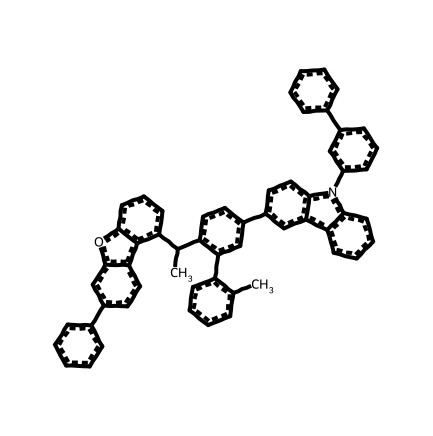 Cc1ccccc1-c1cc(-c2ccc3c(c2)c2ccccc2n3-c2cccc(-c3ccccc3)c2)ccc1C(C)c1cccc2oc3cc(-c4ccccc4)ccc3c12